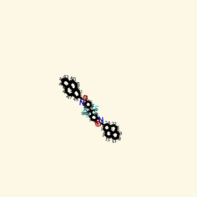 FC(F)(F)C(c1ccc2oc(-c3cc4ccc5cccc6ccc(c3)c4c56)nc2c1)(c1ccc2oc(-c3cc4ccc5cccc6ccc(c3)c4c56)nc2c1)C(F)(F)F